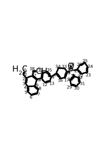 C=Cc1cc2ccccc2c(-c2ccc(C3=CC=C(P(=O)(c4ccccc4)c4ccccc4)CC3)cc2)c1C=C